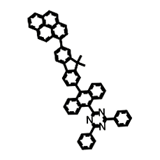 CC1(C)c2cc(-c3c4ccccc4c(-c4nc(-c5ccccc5)nc(-c5ccccc5)n4)c4ccccc34)ccc2-c2ccc(-c3ccc4ccc5cccc6ccc3c4c56)cc21